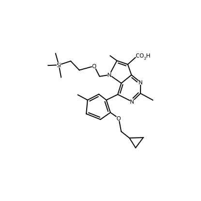 Cc1ccc(OCC2CC2)c(-c2nc(C)nc3c(C(=O)O)c(C)n(COCC[Si](C)(C)C)c23)c1